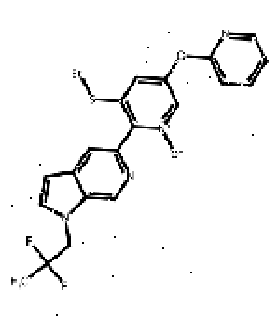 CCSc1cc(Oc2ccccn2)c[n+]([O-])c1-c1cc2ccn(CC(F)(F)C(F)(F)F)c2cn1